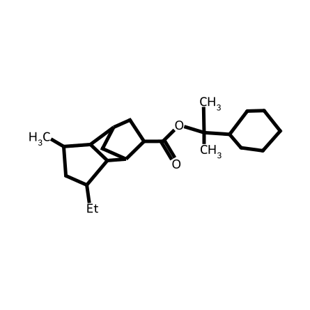 CCC1CC(C)C2C3CC(C(=O)OC(C)(C)C4CCCCC4)C(C3)C12